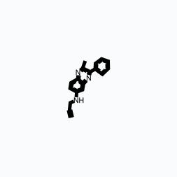 C#CCNc1ccc2nc(C)c(-c3ccccc3)nc2c1